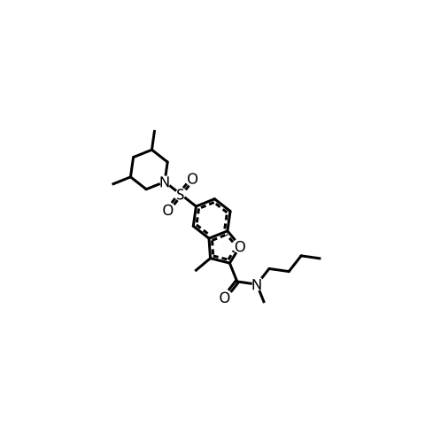 CCCCN(C)C(=O)c1oc2ccc(S(=O)(=O)N3CC(C)CC(C)C3)cc2c1C